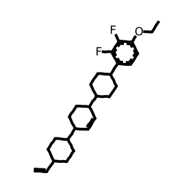 C=CC1CCC(C2C=CC(C3CCC(c4ccc(OCC)c(F)c4F)CC3)CC2)CC1